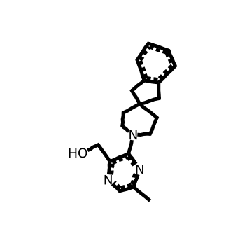 Cc1cnc(CO)c(N2CCC3(CC2)Cc2ccccc2C3)n1